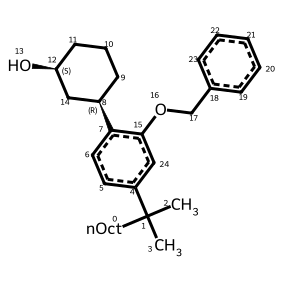 CCCCCCCCC(C)(C)c1ccc([C@@H]2CCC[C@H](O)C2)c(OCc2ccccc2)c1